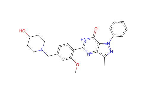 COc1cc(CN2CCC(O)CC2)ccc1-c1nc2c(C)nn(-c3ccccc3)c2c(=O)[nH]1